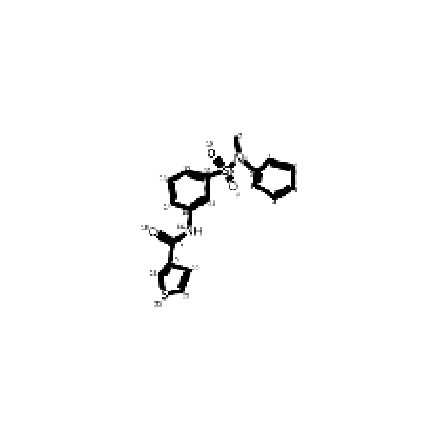 CN(c1ccccc1)S(=O)(=O)c1cccc(NC(=O)c2ccsc2)c1